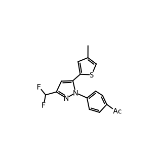 CC(=O)c1ccc(-n2nc(C(F)F)cc2-c2cc(C)cs2)cc1